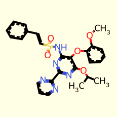 COc1ccccc1Oc1c(NS(=O)(=O)/C=C/c2ccccc2)nc(-c2ncccn2)nc1OC(C)C